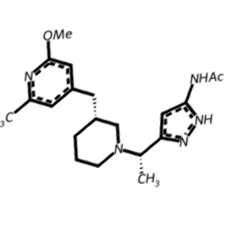 COc1cc(C[C@H]2CCCN([C@@H](C)c3cc(NC(C)=O)[nH]n3)C2)cc(C)n1